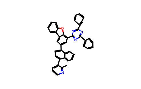 Cc1ncccc1-c1ccc(-c2cc(-c3nc(-c4ccccc4)nc(-c4ccccc4)n3)c3oc4ccccc4c3c2)c2ccccc12